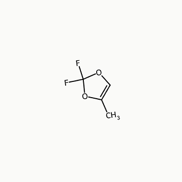 CC1=COC(F)(F)O1